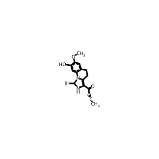 CCOC(=O)C1=C2CCc3cc(OC)c(O)cc3N2C(Br)N1